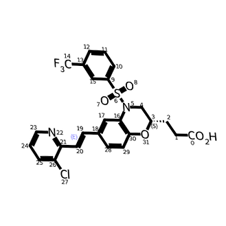 O=C(O)CC[C@H]1CN(S(=O)(=O)c2cccc(C(F)(F)F)c2)c2cc(/C=C/c3ncccc3Cl)ccc2O1